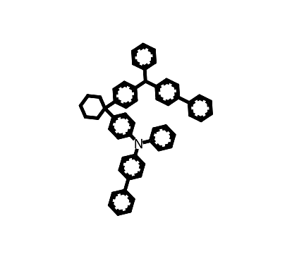 c1ccc(-c2ccc(C(c3ccccc3)c3ccc(C4(c5ccc(N(c6ccccc6)c6ccc(-c7ccccc7)cc6)cc5)CCCCC4)cc3)cc2)cc1